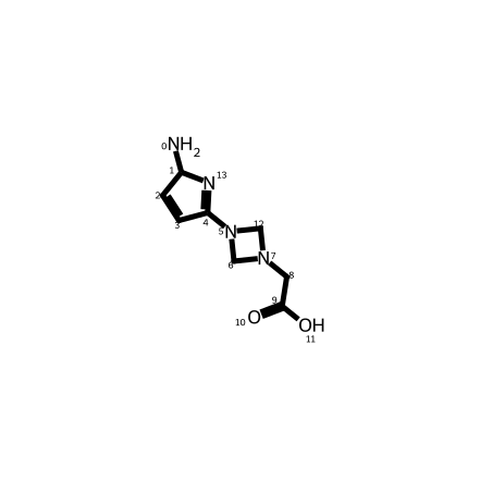 NC1C=CC(N2CN(CC(=O)O)C2)=N1